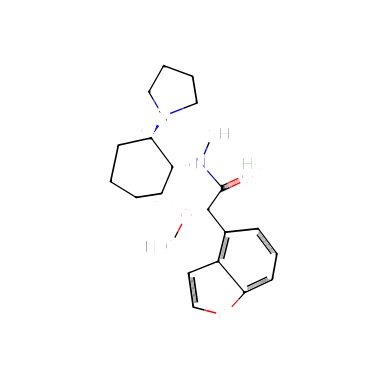 CO[C@@H]1CCC[C@@H](N2CCCC2)[C@@H]1N(C)C(=O)Cc1cccc2occc12.Cl